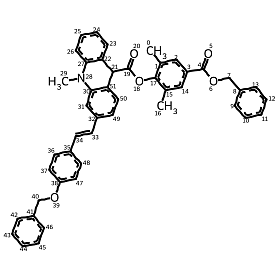 Cc1cc(C(=O)OCc2ccccc2)cc(C)c1OC(=O)C1c2ccccc2N(C)c2cc(C=Cc3ccc(OCc4ccccc4)cc3)ccc21